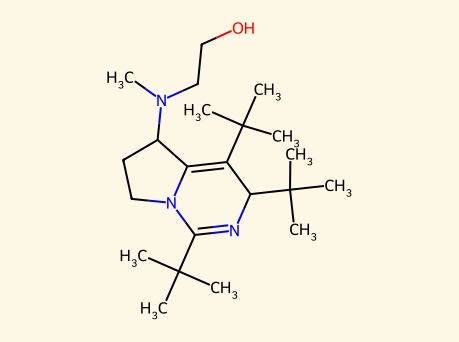 CN(CCO)C1CCN2C(C(C)(C)C)=NC(C(C)(C)C)C(C(C)(C)C)=C12